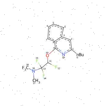 CCCCc1cc2ccccc2c(OC(F)C(F)(F)N(C)C(F)(F)F)n1